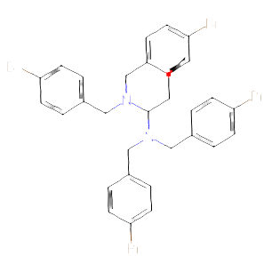 CCCC(N(Cc1ccc(Br)cc1)Cc1ccc(Br)cc1)N(Cc1ccc(Br)cc1)Cc1ccc(Br)cc1